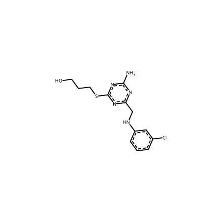 Nc1nc(CNc2cccc(Cl)c2)nc(SCCCO)n1